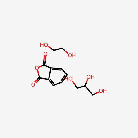 O=C1OC(=O)c2ccccc21.OCC(O)CO.OCCO